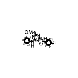 COc1nc(NC(=O)c2ccc(C)cc2)nc(Nc2ccccc2)n1